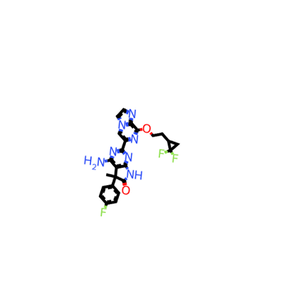 CC1(c2ccc(F)cc2)C(=O)Nc2nc(-c3cn4ccnc4c(OCCC4CC4(F)F)n3)nc(N)c21